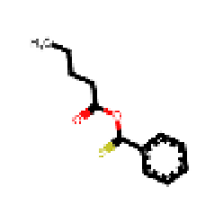 CCCCC(=O)OC(=S)c1ccccc1